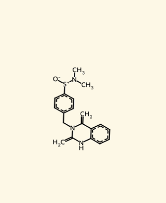 C=C1Nc2ccccc2C(=C)N1Cc1ccc([S+]([O-])N(C)C)cc1